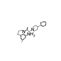 C=C(CN1CCC(c2ccccc2)CC1)N1CCCc2cc(C)cc(N)c21